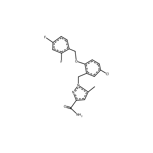 Cc1cc(C(N)=O)nn1Cc1cc(Cl)ccc1OCc1ccc(F)cc1F